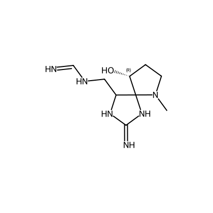 CN1CC[C@@H](O)C12NC(=N)NC2CNC=N